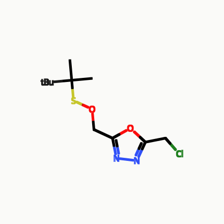 CC(C)(C)C(C)(C)SOCc1nnc(CCl)o1